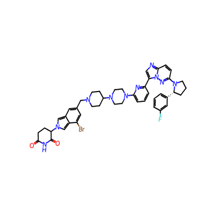 O=C1CCC(n2cc3cc(CN4CCC(N5CCN(c6cccc(-c7cnc8ccc(N9CCC[C@@H]9c9cccc(F)c9)nn78)n6)CC5)CC4)cc(Br)c3c2)C(=O)N1